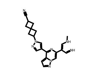 CN/C=C(\C=N)c1cn2nccc2c(-c2cnn(C3CC4(CC(C#N)C4)C3)c2)n1